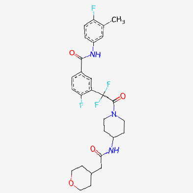 Cc1cc(NC(=O)c2ccc(F)c(C(F)(F)C(=O)N3CCC(NC(=O)CC4CCOCC4)CC3)c2)ccc1F